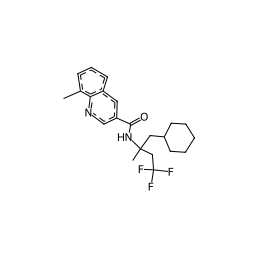 Cc1cccc2cc(C(=O)NC(C)(CC3CCCCC3)CC(F)(F)F)cnc12